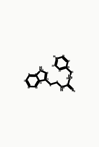 S=C(NCCc1c[nH]c2ccccc12)[SH2]Cc1ccncc1